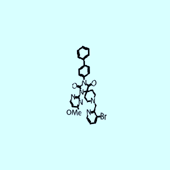 COc1ccnc(N2C(=O)N(c3ccc(-c4ccccc4)cc3)C(=O)C23CCN(Cc2ncccc2Br)CC3)n1